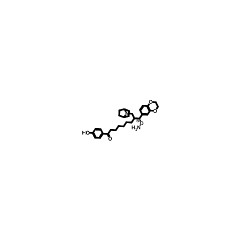 NO[C@H](c1ccc2c(c1)OCCO2)C(CCCCCCC(=O)c1ccc(O)cc1)CN1C2CCC1CC2